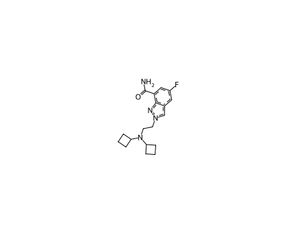 NC(=O)c1cc(F)cc2cn(CCN(C3CCC3)C3CCC3)nc12